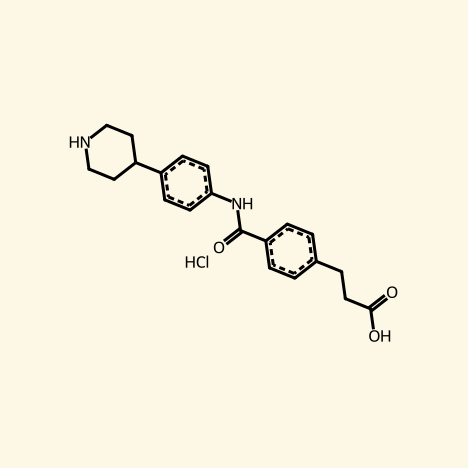 Cl.O=C(O)CCc1ccc(C(=O)Nc2ccc(C3CCNCC3)cc2)cc1